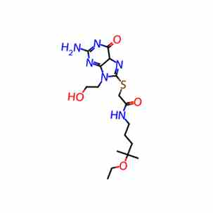 CCOC(C)(C)CCCNC(=O)CSC1=NC2C(=O)N=C(N)N=C2N1CCO